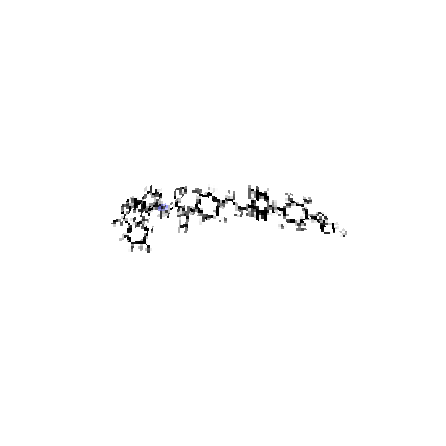 COC(C)c1ccc(C)cc1N1C(=O)CS/C1=N\C(=O)Nc1ccc(CCc2ncn(-c3ccc(OC(F)(F)F)cc3)n2)cc1